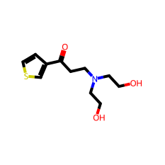 O=C(CCN(CCO)CCO)c1ccsc1